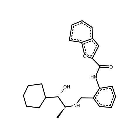 C[C@H](NCc1ccccc1NC(=O)c1cc2ccccc2o1)[C@@H](O)C1CCCCC1